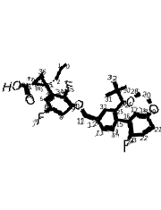 CCC[C@@]1(c2cc(F)cc(OCc3ccc(-c4cc(OC)ccc4F)c([C@@H](OC)C(C)(C)C)c3)c2F)C[C@H]1C(=O)O